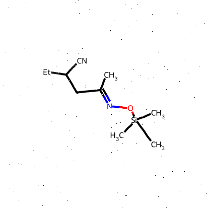 CCC(C#N)C/C(C)=N/O[Si](C)(C)C